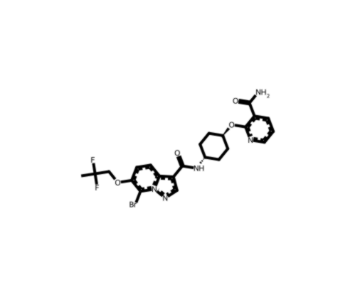 CC(F)(F)COc1ccc2c(C(=O)N[C@H]3CC[C@H](Oc4ncccc4C(N)=O)CC3)cnn2c1Br